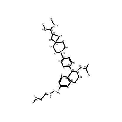 COCCOCOc1ccc2c(c1)CC[C@H](CC(C)C)[C@@H]2c1ccc(N2CCC3(CC2)CC(C(OC)OC)C3)cc1